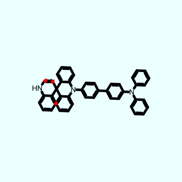 c1ccc(N(c2ccccc2)c2ccc(-c3ccc(N4c5ccccc5C5(c6ccccc6Nc6ccccc65)c5ccccc54)cc3)cc2)cc1